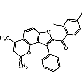 C=C1C=C(C)c2ccc3oc(C(=O)c4ccc(F)cc4F)c(-c4ccccc4)c3c2O1